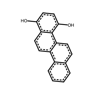 Oc1ccc(O)c2c1ccc1c3ccccc3ccc12